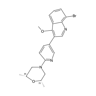 COc1c(-c2ccc(N3C[C@@H](C)O[C@@H](C)C3)nc2)cnc2c(Br)cccc12